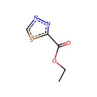 CCOC(=O)c1nncs1